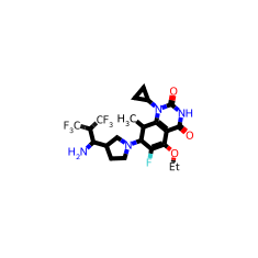 CCOC1=C(F)C(N2CCC(C(N)C(C(F)(F)F)C(F)(F)F)C2)C(C)c2c1c(=O)[nH]c(=O)n2C1CC1